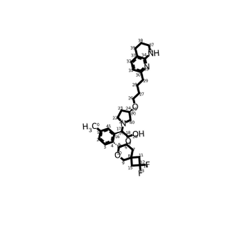 Cc1ccc([C@@H]2CCC3(CO2)CC(F)(F)C3)c([C@H](C(=O)O)N2CC[C@@H](OCCCCc3ccc4c(n3)NCCC4)C2)c1